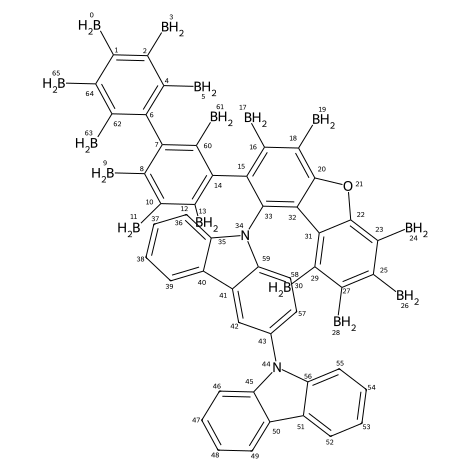 Bc1c(B)c(B)c(-c2c(B)c(B)c(B)c(-c3c(B)c(B)c4oc5c(B)c(B)c(B)c(B)c5c4c3-n3c4ccccc4c4cc(-n5c6ccccc6c6ccccc65)ccc43)c2B)c(B)c1B